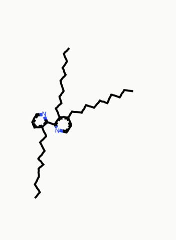 CCCCCCCCCCc1cccnc1-c1nccc(CCCCCCCCCC)c1CCCCCCCCCC